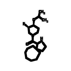 CC(C)O[C@H]1CCN(C(=O)C2NCCC23CCCCCCC3)C[C@H]1F